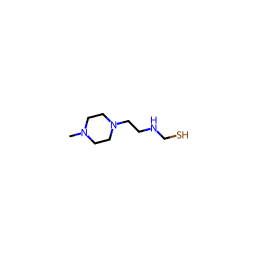 CN1CCN(CCNCS)CC1